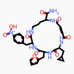 NC(=O)C1CCCNC(=O)C(Cc2ccc([N+](=O)O)cc2)NC(=O)C(Cc2ccco2)NC(=O)C(CC2CC2)NC(=O)C=CC(=O)N1